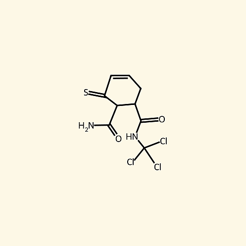 NC(=O)C1C(=S)C=CCC1C(=O)NC(Cl)(Cl)Cl